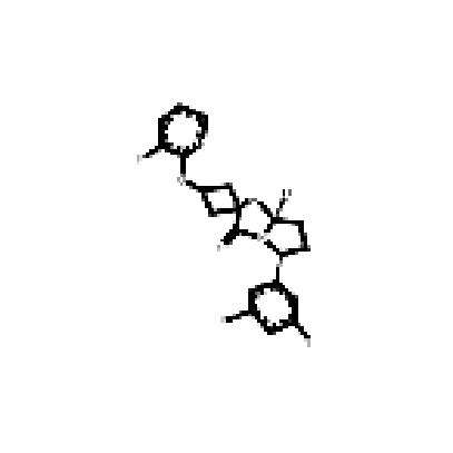 O=C1N2[C@@H](CC[C@H]2c2cc(F)cc(F)c2)OC12CC(Oc1ncccc1F)C2